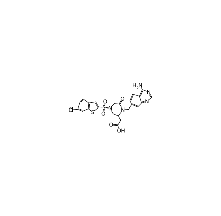 Nc1ncnc2cc(CN3C(=O)CN(S(=O)(=O)c4cc5ccc(Cl)cc5s4)C[C@@H]3CC(=O)O)ccc12